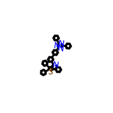 c1ccc(-c2nc(-c3ccccc3)nc(-c3ccc(-c4cccc(-c5nc6ccccc6c6sc(-c7ccccc7)c(-c7ccccc7)c56)c4)cc3)n2)cc1